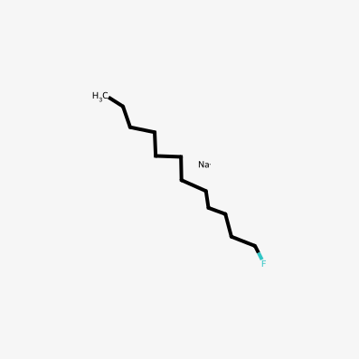 CCCCCCCCCCCCF.[Na]